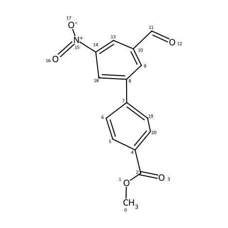 COC(=O)c1ccc(-c2cc(C=O)cc([N+](=O)[O-])c2)cc1